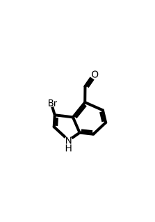 O=Cc1cccc2[nH]cc(Br)c12